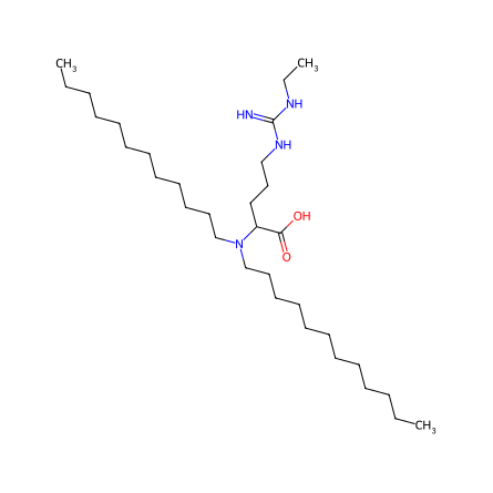 CCCCCCCCCCCCN(CCCCCCCCCCCC)C(CCCNC(=N)NCC)C(=O)O